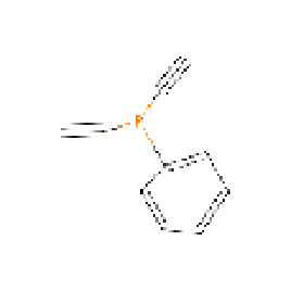 C#CP(C#C)c1ccccc1